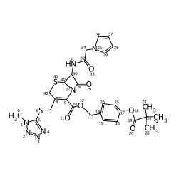 Cn1nnnc1SCC1=C(C(=O)OCc2ccc(OC(=O)C(C)(C)C)cc2)N2C(=O)C(NC(=O)Cn3cccc3)C2SC1